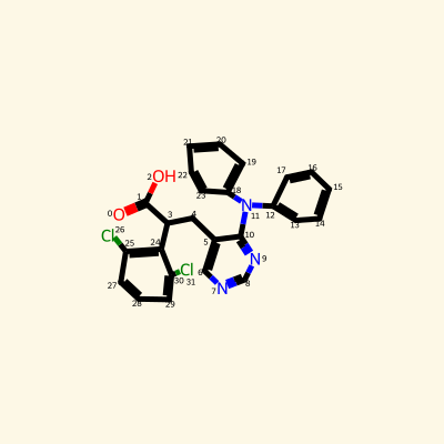 O=C(O)C(Cc1cncnc1N(c1ccccc1)c1ccccc1)c1c(Cl)cccc1Cl